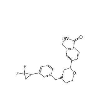 O=C1NCc2cc(C3CN(Cc4cccc(C5CC5(F)F)c4)CCO3)ccc21